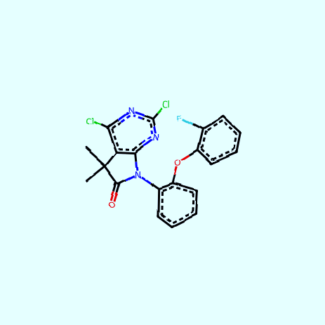 CC1(C)C(=O)N(c2ccccc2Oc2ccccc2F)c2nc(Cl)nc(Cl)c21